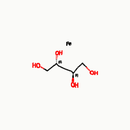 OC[C@@H](O)[C@@H](O)CO.[Fe]